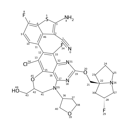 N#Cc1c(N)sc2c(F)ccc(-c3c(Cl)c4c5c(nc(OC[C@@]67CCCN6C[C@H](F)C7)nc5c3F)N(C3CCOC3)CC(CO)O4)c12